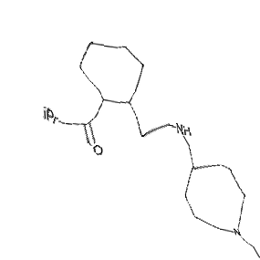 CC(C)C(=O)C1CCCCC1CNC1CCN(C)CC1